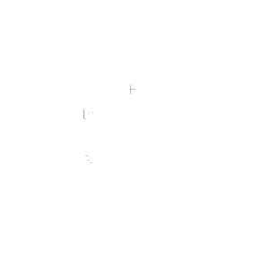 Cc1c(C)c(CBr)c(CBr)c(CBr)c1C